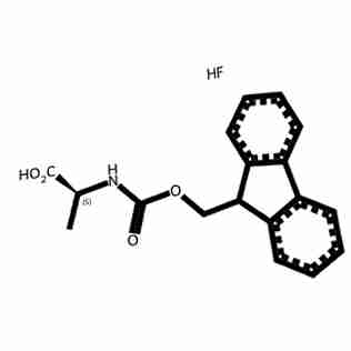 C[C@H](NC(=O)OCC1c2ccccc2-c2ccccc21)C(=O)O.F